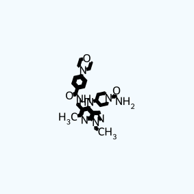 CCn1ncc2c(NC3CCN(C(N)=O)CC3)c(CNC(=O)c3ccc(N4CCOCC4)cc3)c(C)nc21